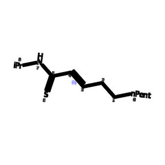 CCCCCCC/C=C/C(=S)NC(C)C